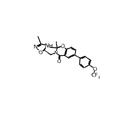 CC1=NOC(CN2C(=O)c3cc(-c4ccc(OC(F)(F)F)cc4)ccc3OC2(C)C)N1